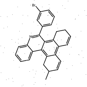 CC1C=Cc2c3c(c4c(-c5cccc(Br)c5)nc5ccccc5c4c2C1)CCC=C3